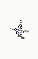 CC(C)(C)c1ccc2c(c1)c1cc(C(C)(C)C)cc3c1n2B1c2c-3c3ccc4cc(C5CCCCC5)cc5ccc(c2-n2c6ccc(C(C)(C)C)cc6c6cc(C(C)(C)C)cc1c62)c3c45